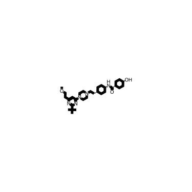 COCCc1cc(N2CCN(CC[C@H]3CC[C@@H](NC(=O)[C@H]4CC[C@@H](O)CC4)CC3)CC2)nc(C(C)(C)C)n1